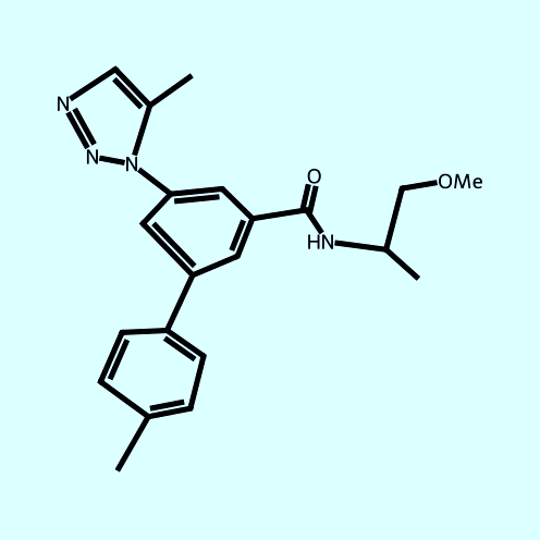 COCC(C)NC(=O)c1cc(-c2ccc(C)cc2)cc(-n2nncc2C)c1